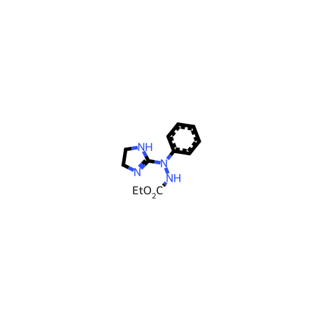 CCOC(=O)NN(C1=NCCN1)c1ccccc1